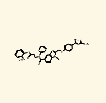 COC(=O)/N=C(\N)c1ccc(NCc2nc3cc(C(=O)N(CCC(=O)Oc4ccccc4OC)c4ccccn4)ccc3n2C)cc1